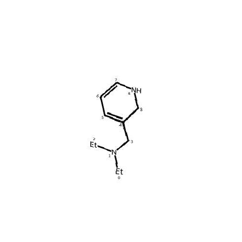 CCN(CC)CC1=CC=CNC1